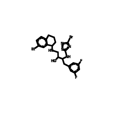 CCc1ccc2c(c1)C(NCC(O)C(Cc1cc(F)cc(F)c1)Nc1nc(Br)ns1)CCC2